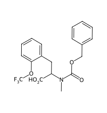 CN(C(=O)OCc1ccccc1)C(Cc1ccccc1OC(F)(F)F)C(=O)O